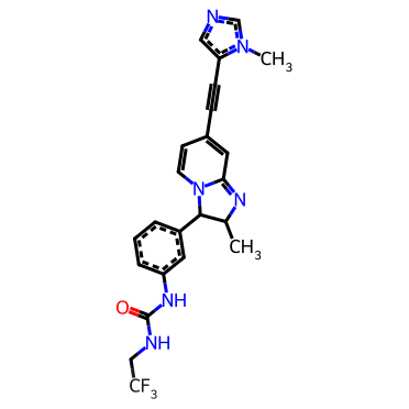 CC1N=C2C=C(C#Cc3cncn3C)C=CN2C1c1cccc(NC(=O)NCC(F)(F)F)c1